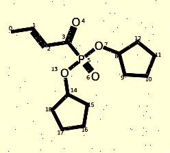 CC=CC(=O)P(=O)(OC1CCCC1)OC1CCCC1